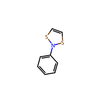 C1=CSN(c2ccccc2)S1